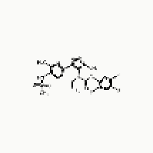 CCN(C(=O)Oc1cc(F)c(F)cc1F)c1c(-c2ccc(NS(C)(=O)=O)c(C)n2)nnn1C